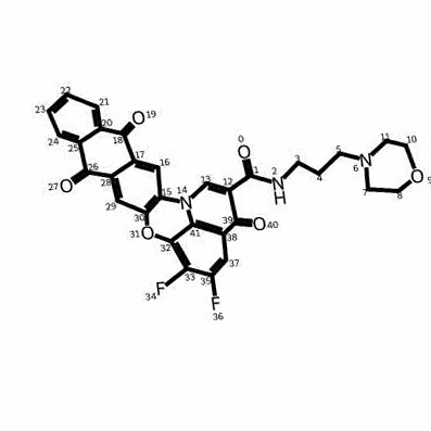 O=C(NCCCN1CCOCC1)c1cn2c3cc4c(=O)c5ccccc5c(=O)c4cc3oc3c(F)c(F)cc(c1=O)c32